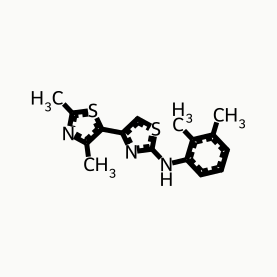 Cc1nc(C)c(-c2csc(Nc3cccc(C)c3C)n2)s1